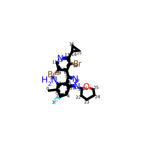 Cc1c(F)cc2c(c(-c3c(Br)cnc(C4CC4)c3Br)nn2C2CCCCO2)c1N